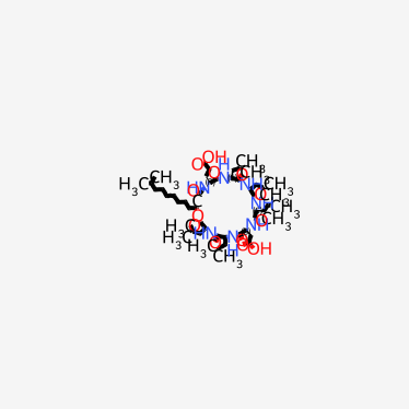 CCC(C)[C@@H]1NC(=O)C(CC(C)C)NC(=O)[C@H](CC(C)C)NC(=O)[C@@H](CCC(=O)O)NC(=O)CC(CCCCCCCC(C)C)OC(=O)C(CC(C)C)NC(=O)C(CC(C)C)NC(=O)[C@H](CC(=O)O)NC1=O